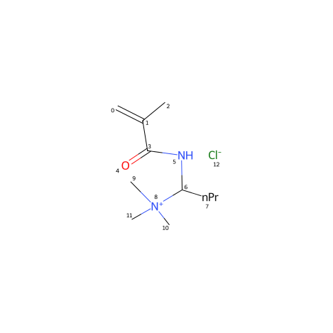 C=C(C)C(=O)NC(CCC)[N+](C)(C)C.[Cl-]